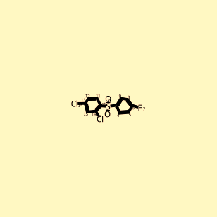 O=S(=O)(c1ccc(F)cc1)c1ccc(Cl)cc1Cl